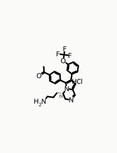 CC(=O)c1ccc(-c2c(-c3cccc(OC(F)(F)F)c3)cc3n2[C@@H](CCCN)CN=C3)cc1.Cl